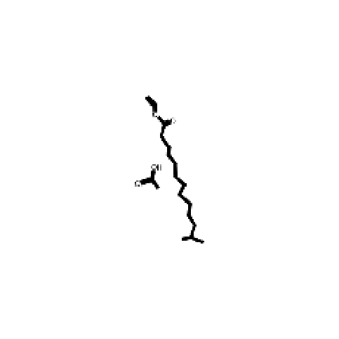 C=COC(=O)CCCCCCCCCCC(C)C.CC(=O)O